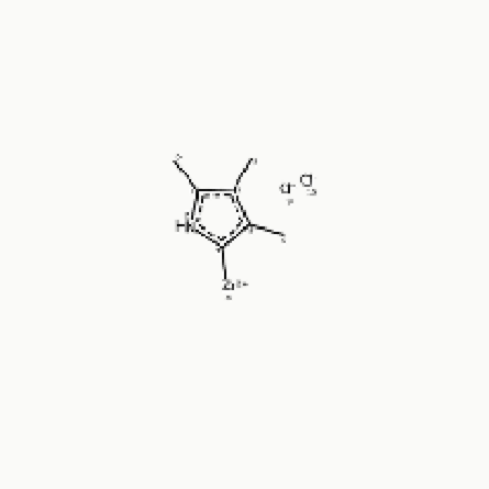 Cc1[nH][c]([Zr+2])c(C)c1C.[Cl-].[Cl-]